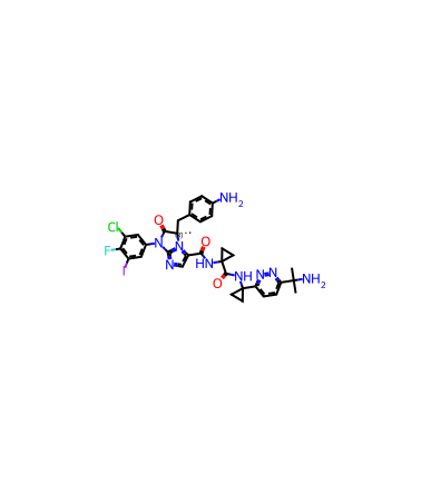 CC(C)(N)c1ccc(C2(NC(=O)C3(NC(=O)c4cnc5n4[C@](C)(Cc4ccc(N)cc4)C(=O)N5c4cc(Cl)c(F)c(I)c4)CC3)CC2)nn1